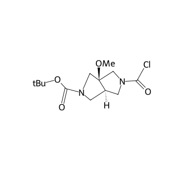 CO[C@@]12CN(C(=O)Cl)C[C@H]1CN(C(=O)OC(C)(C)C)C2